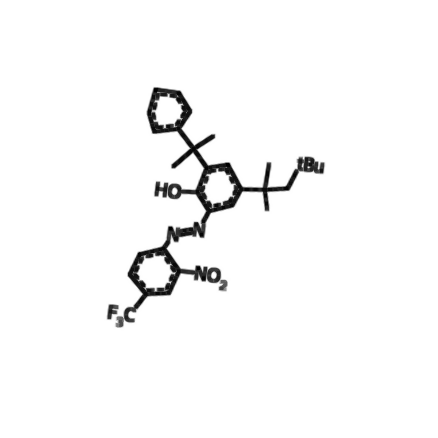 CC(C)(C)CC(C)(C)c1cc(N=Nc2ccc(C(F)(F)F)cc2[N+](=O)[O-])c(O)c(C(C)(C)c2ccccc2)c1